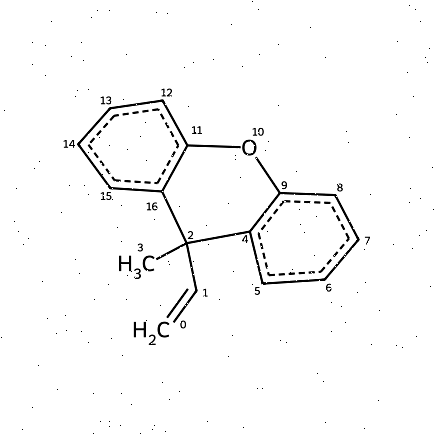 C=CC1(C)c2ccccc2Oc2ccccc21